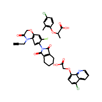 C#CCN1C(=O)COc2cc(F)c(N3C(=O)C4=C(CCCC4)C3=O)cc21.Cc1cc(Cl)ccc1OC(C)C(=O)O.O=C(O)COc1ccc(Cl)c2cccnc12